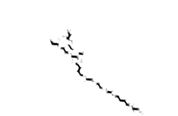 O=C(O)CC[C@H](NC(=O)CCC(NC(=O)COCCOCCNC(=O)CCCNC(=O)CBr)C(=O)O)C(=O)N(CCNC(=O)CCl)CCNC(=O)CCl